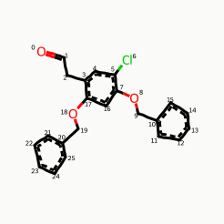 O=CCc1cc(Cl)c(OCc2ccccc2)cc1OCc1ccccc1